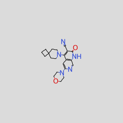 N#Cc1c(N2CCC3(CCC3)CC2)c2cc(N3CCOCC3)ncc2[nH]c1=O